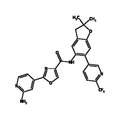 CC1(C)Cc2cc(NC(=O)c3coc(-c4ccnc(N)c4)n3)c(-c3ccc(C(F)(F)F)nc3)cc2O1